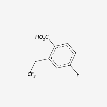 O=C(O)c1ccc(F)cc1CC(F)(F)F